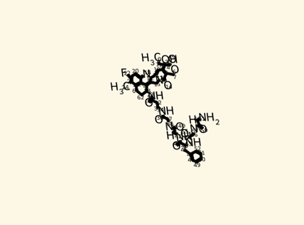 CC[C@@]1(O)C(=O)OCc2c1cc1n(c2=O)Cc2c-1nc1cc(F)c(C)c3c1c2[C@@H](NC(=O)CCNC(=O)CNC(=O)CNC(=O)[C@H](Cc1ccccc1)NC(=O)CNC(=O)CN)CC3